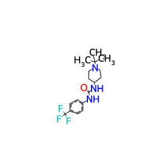 CC(C)(C)N1CCC(NC(=O)Nc2ccc(C(F)(F)F)cc2)CC1